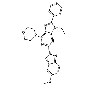 CCn1c(-c2ccncc2)nc2c(N3CCOCC3)nc(-n3cc4cc(OC)ccc4n3)nc21